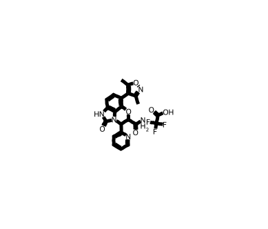 Cc1noc(C)c1-c1ccc2[nH]c(=O)n3c2c1OC(C(N)=O)C3c1ccccn1.O=C(O)C(F)(F)F